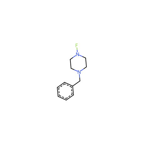 FN1CCN(Cc2ccccc2)CC1